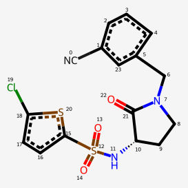 N#Cc1cccc(CN2CC[C@H](NS(=O)(=O)c3ccc(Cl)s3)C2=O)c1